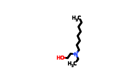 CCCCCCCCN(CC)CCO